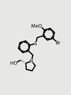 COc1ccc(Br)cc1CSc1ccccc1CN1CCC[C@@H]1CO